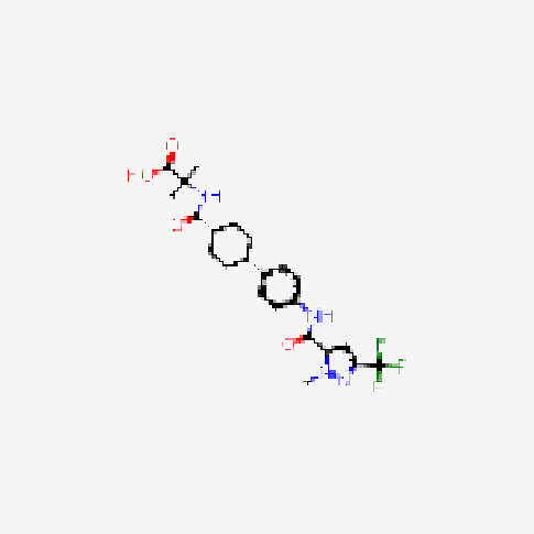 Cn1nc(C(F)(F)F)cc1C(=O)Nc1ccc([C@H]2CC[C@@H](C(=O)NC(C)(C)C(=O)O)CC2)cc1